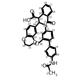 CC(=O)Nc1ccc(-c2ccc(N3C(=O)c4ccccc4C(C(=O)O)C3c3ccc4c(c3)OCCO4)cc2Cl)cc1